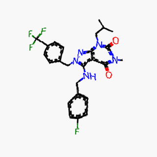 CC(C)Cn1c(=O)n(C)c(=O)c2c(NCc3ccc(F)cc3)n(Cc3ccc(C(F)(F)F)cc3)nc21